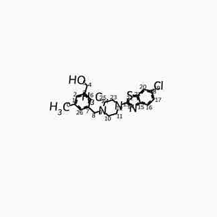 Cc1cc(CO)cc(CN2CCN(c3nc4ccc(Cl)cc4s3)C[C@H]2C)c1